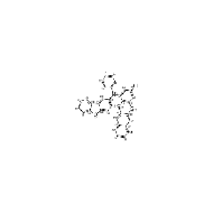 Clc1cc2c(c(N(c3ccccc3)c3ccc4oc5ccccc5c4c3)c1)Sc1cc3ccccc3cc1S2